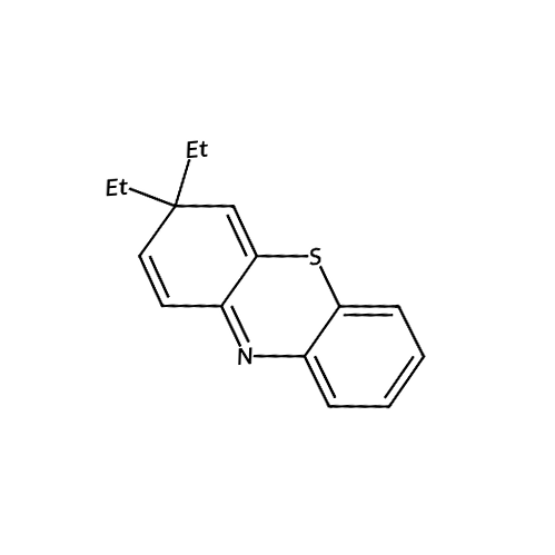 CCC1(CC)C=CC2=Nc3ccccc3SC2=C1